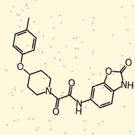 Cc1ccc(OC2CCN(C(=O)C(=O)Nc3ccc4[nH]c(=O)oc4c3)CC2)cc1